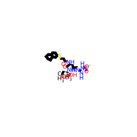 CC(C)C[C@H](NC(=O)[C@H](CCCNC(=N)N[N+](=O)[O-])NC(=O)CCSc1ccc2ccccc2c1)B(O)O